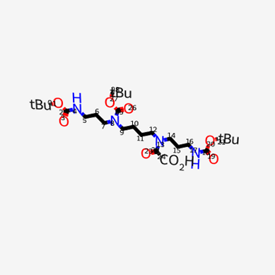 CC(C)(C)OC(=O)NCCCN(CCCCN(CCCNC(=O)OC(C)(C)C)C(=O)C(=O)O)C(=O)OC(C)(C)C